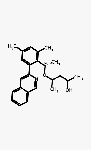 Cc1cc(C)c([C@H](C)OC(C)CC(C)O)c(-c2cc3ccccc3cn2)c1